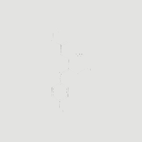 CN[C@@H](CC(=O)OC(C)(C)C)C(=Nc1ccc(C(C)C)cc1)OC(C)(C)C